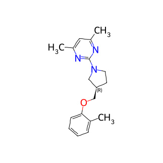 Cc1cc(C)nc(N2CC[C@@H](COc3ccccc3C)C2)n1